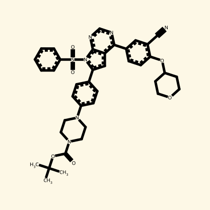 CC(C)(C)OC(=O)N1CCN(c2ccc(-c3cc4c(-c5ccc(OC6CCOCC6)c(C#N)c5)ncnc4n3S(=O)(=O)c3ccccc3)cc2)CC1